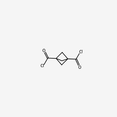 O=C(Cl)C12CC(C(=O)Cl)(C1)C2